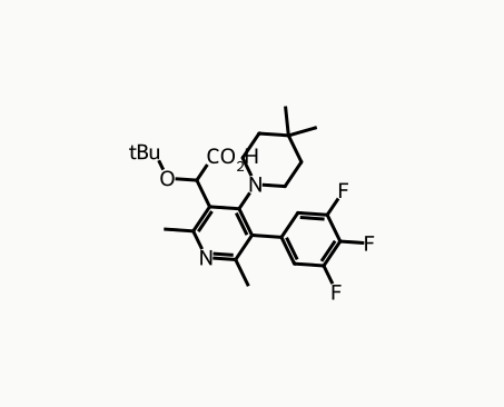 Cc1nc(C)c(C(OC(C)(C)C)C(=O)O)c(N2CCC(C)(C)CC2)c1-c1cc(F)c(F)c(F)c1